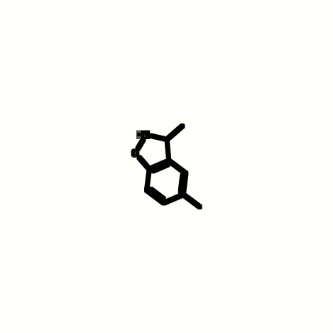 Cc1ccc2c(c1)C(C)NO2